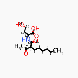 CCCCCCC(C(C)=O)C(=O)NC(CCO)C(=O)O